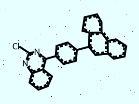 Clc1nc(-c2ccc(-c3cc4ccccc4c4ccccc34)cc2)c2ccccc2n1